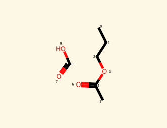 CCCOC(C)=O.O=CO